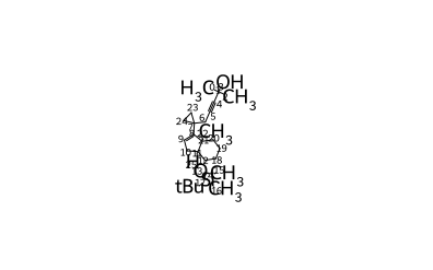 CC(C)(O)C#CCC1(C2=CC[C@H]3[C@@H](O[Si](C)(C)C(C)(C)C)CCC[C@@]23C)CC1